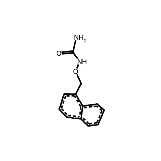 NC(=O)NOCc1cccc2ccccc12